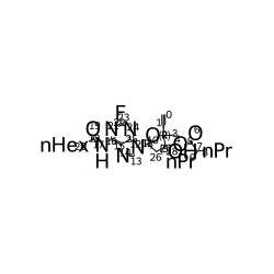 C#C[C@]1(COC(=O)C(CCC)CCC)O[C@@H](n2cnc3c(NC(=O)CCCCCC)nc(F)nc32)C[C@@H]1O